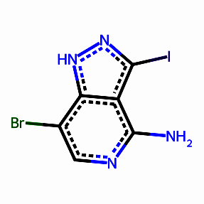 Nc1ncc(Br)c2[nH]nc(I)c12